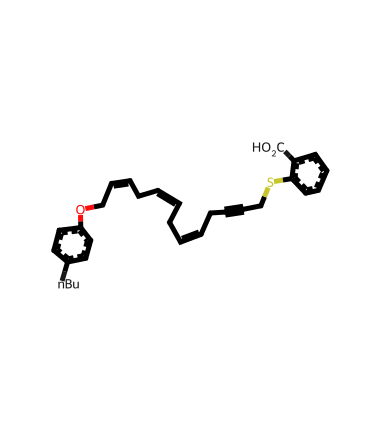 CCCCc1ccc(OC/C=C\C/C=C\C/C=C\CC#CCSc2ccccc2C(=O)O)cc1